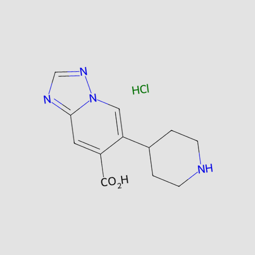 Cl.O=C(O)c1cc2ncnn2cc1C1CCNCC1